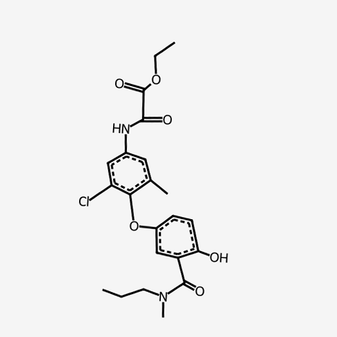 CCCN(C)C(=O)c1cc(Oc2c(C)cc(NC(=O)C(=O)OCC)cc2Cl)ccc1O